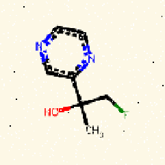 CC(O)(CF)c1cnccn1